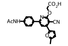 CC(=O)Nc1ccc(-c2cc(-c3ccc(C)o3)c(C#N)c(OCC(=O)O)n2)cc1